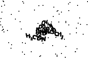 Cc1ccc(NC(=O)N(C(=O)Nc2ccc(C)c(OC#N)c2)c2ccc(C)c(OC#N)c2)cc1OC#N